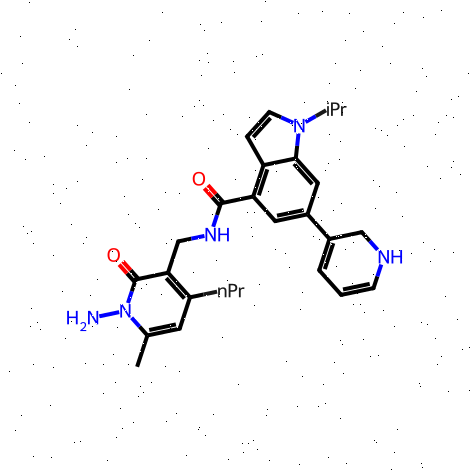 CCCc1cc(C)n(N)c(=O)c1CNC(=O)c1cc(C2=CC=CNC2)cc2c1ccn2C(C)C